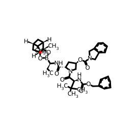 CC[C@H](NC(=O)[C@@H]1C[C@@H](OC(=O)N2Cc3ccccc3C2)CN1C(=O)[C@@H](NC(=O)OCc1ccccc1)C(C)(C)C)B1O[C@@H]2C[C@@H]3C[C@@H](C3(C)C)[C@]2(C)O1